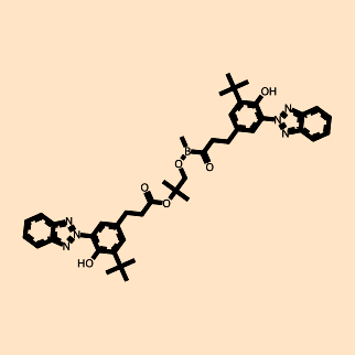 CB(OCC(C)(C)OC(=O)CCc1cc(-n2nc3ccccc3n2)c(O)c(C(C)(C)C)c1)C(=O)CCc1cc(-n2nc3ccccc3n2)c(O)c(C(C)(C)C)c1